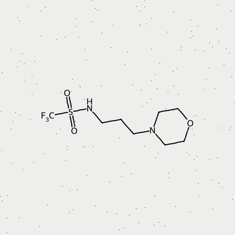 O=S(=O)(NCCCN1CCOCC1)C(F)(F)F